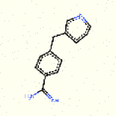 N=C(N)c1ccc([CH]c2cccnc2)cc1